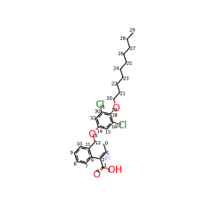 C/C=C(/C(=O)O)c1ccccc1COc1cc(Cl)c(OCCCCCCCCCC)c(Cl)c1